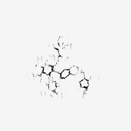 Cc1cc(F)ccc1CN1CCc2cc(-c3c(CNC(=O)C(=O)N(C)C)nc(C)c([C@H](OC(C)(C)C)C(=O)O)c3N3CCC(C)(C)CC3)ccc2C1